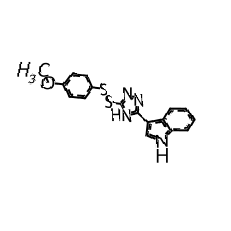 COc1ccc(SSc2nnc(-c3c[nH]c4ccccc34)[nH]2)cc1